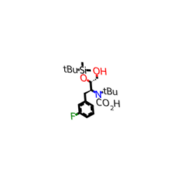 CC(C)(C)N(C(=O)O)[C@@H](Cc1cccc(F)c1)[C@@H](CO)O[Si](C)(C)C(C)(C)C